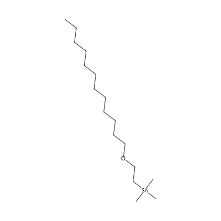 CCCCCCCCCCCCOC[CH2][Sn]([CH3])([CH3])[CH3]